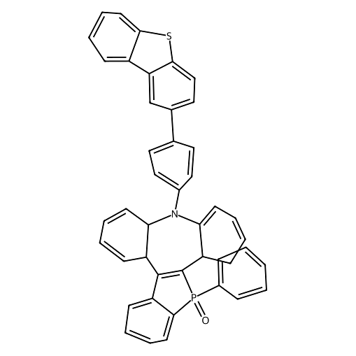 O=P1(c2ccccc2)C2=C(c3ccccc31)C1C=CC=CC1N(c1ccc(-c3ccc4sc5ccccc5c4c3)cc1)C1=CC=CCC12